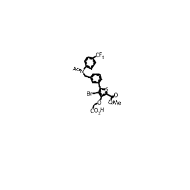 COC(=O)c1sc(-c2cccc(CN(C(C)=O)c3ccc(C(F)(F)F)cc3)c2)c(Br)c1OCC(=O)O